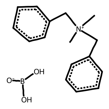 C[N+](C)(Cc1ccccc1)Cc1ccccc1.[O-]B(O)O